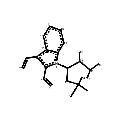 C=Cc1c(C=C)n(C(CC(C)(C)C)C(C)C(C)C)c2ccccc12